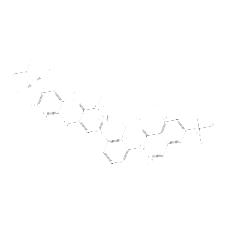 CC(C)S(=O)(=O)c1ccc(Nc2cc(-c3cccc(-n4ncc5cc(C(C)(C)C)cc(F)c5c4=O)c3CO)nn(C)c2=O)nc1